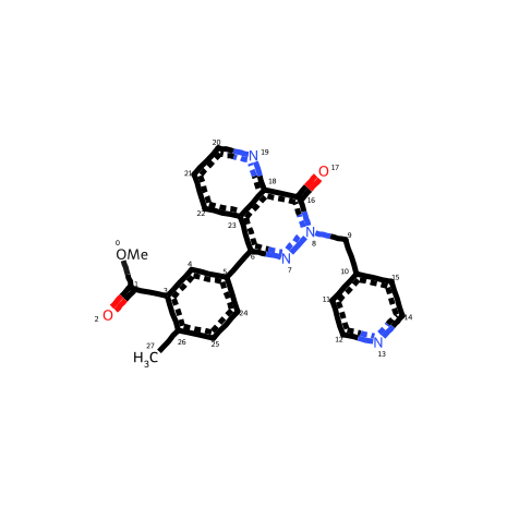 COC(=O)c1cc(-c2nn(Cc3ccncc3)c(=O)c3ncccc23)ccc1C